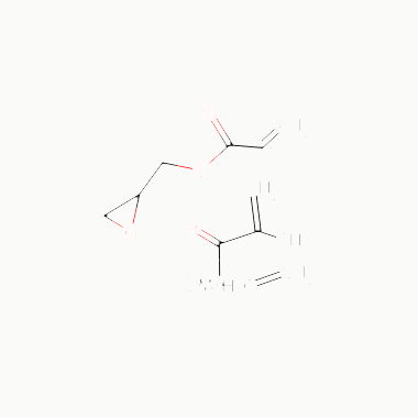 C=C.C=C(C)C(=O)OC.C=CC(=O)OCC1CO1